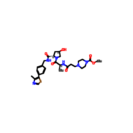 Cc1ncsc1-c1ccc(CNC(=O)[C@@H]2C[C@@H](O)CN2C(=O)[C@@H](NC(=O)CCN2CCN(C(=O)OC(C)(C)C)CC2)C(C)(C)C)cc1